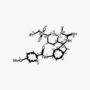 COc1ccc(C(=O)Nc2ccc3c(c2)[C@@]2(C3)NC(=N)N(C)[S+]([O-])C2CCN(C)S(=O)(=O)CC(C)C)nc1